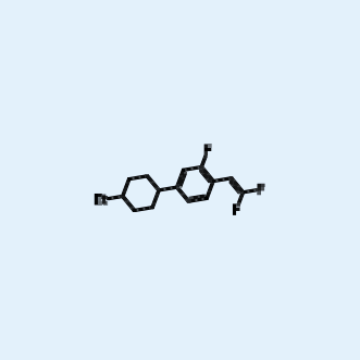 CCC1CCC(c2ccc(C=C(F)F)c(F)c2)CC1